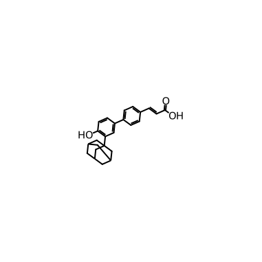 O=C(O)C=Cc1ccc(-c2ccc(O)c(C34CC5CC(CC(C5)C3)C4)c2)cc1